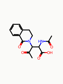 CC(=O)NC(C(=O)O)C(C(C)=O)N1CCc2ccccc2C1=O